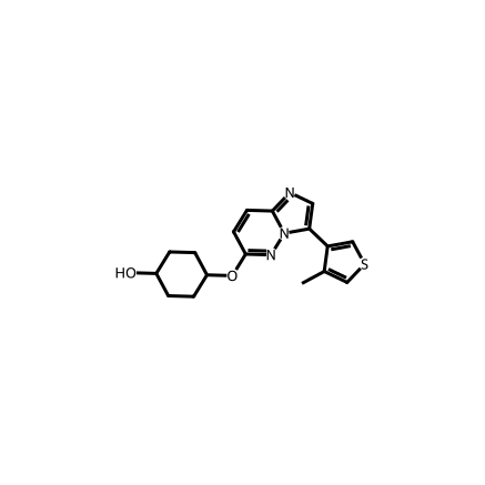 Cc1cscc1-c1cnc2ccc(OC3CCC(O)CC3)nn12